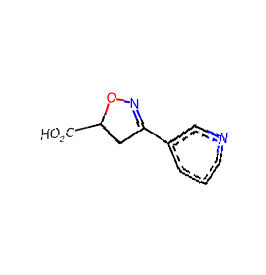 O=C(O)C1CC(c2cccnc2)=NO1